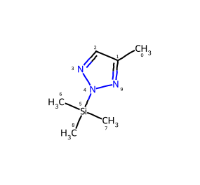 Cc1cnn([Si](C)(C)C)n1